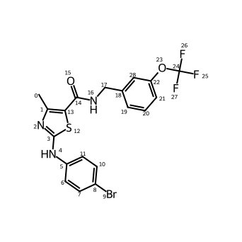 Cc1nc(Nc2ccc(Br)cc2)sc1C(=O)NCc1cccc(OC(F)(F)F)c1